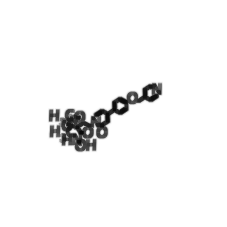 CC(CCn1ccc(-c2ccc(OCc3ccncc3)cc2)cc1=O)(C(=O)NO)S(C)(=O)=O